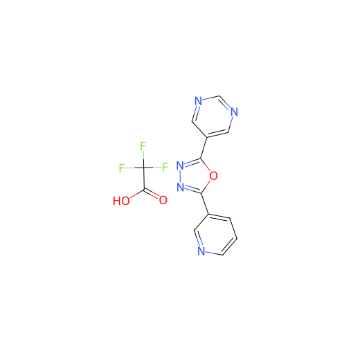 O=C(O)C(F)(F)F.c1cncc(-c2nnc(-c3cncnc3)o2)c1